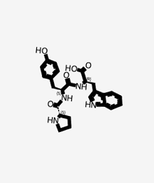 O=C(N[C@@H](Cc1ccc(O)cc1)C(=O)N[C@H](Cc1c[nH]c2ccccc12)C(=O)O)[C@@H]1CCCN1